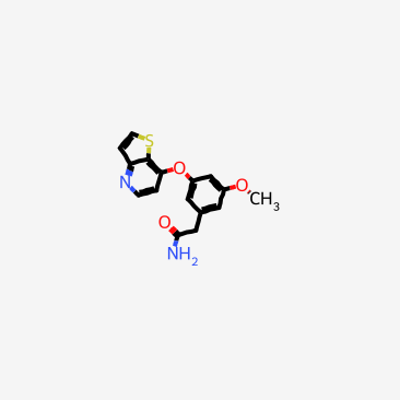 COc1cc(CC(N)=O)cc(Oc2ccnc3ccsc23)c1